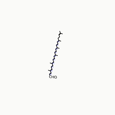 CC(C)=CCC/C(C)=C/C=C/C(C)=C/C=C/C(C)=C/C=C/C=C(C)/C=C/C=C(C)/C=C/C=O